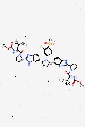 COC(=O)N[C@H](C(=O)N1CCCC1c1nc2ccc([C@H]3CC[C@H](c4ccc5nc([C@@H]6CCCN6C(=O)[C@@H](NC(=O)OC)C(C)C)[nH]c5c4)N3c3ccc(S(C)(=O)=O)c(F)c3)cc2[nH]1)C(C)C